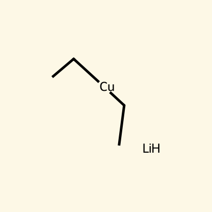 C[CH2][Cu][CH2]C.[LiH]